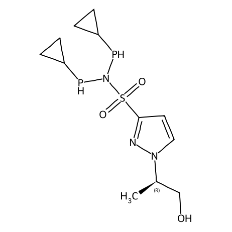 C[C@H](CO)n1ccc(S(=O)(=O)N(PC2CC2)PC2CC2)n1